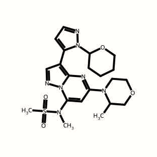 CC1COCCN1c1cc(N(C)S(C)(=O)=O)n2ncc(-c3ccnn3C3CCCCO3)c2n1